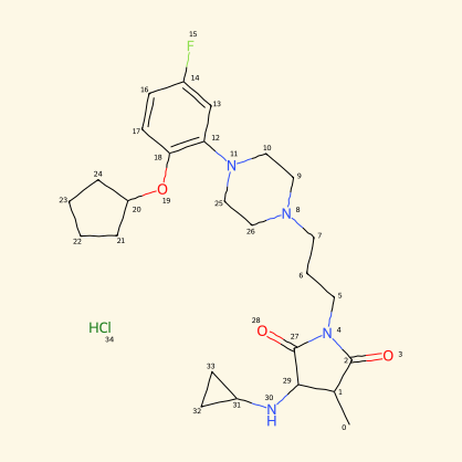 CC1C(=O)N(CCCN2CCN(c3cc(F)ccc3OC3CCCC3)CC2)C(=O)C1NC1CC1.Cl